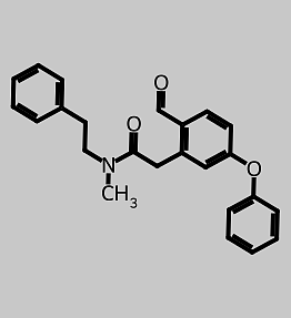 CN(CCc1ccccc1)C(=O)Cc1cc(Oc2ccccc2)ccc1C=O